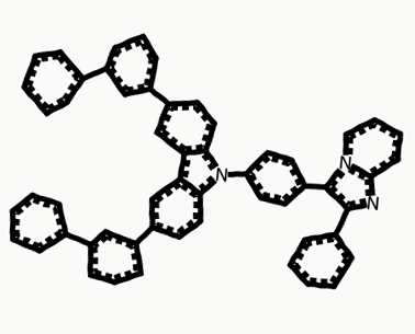 c1ccc(-c2cccc(-c3ccc4c(c3)c3cc(-c5cccc(-c6ccccc6)c5)ccc3n4-c3ccc(-c4c(-c5ccccc5)nc5ccccn45)cc3)c2)cc1